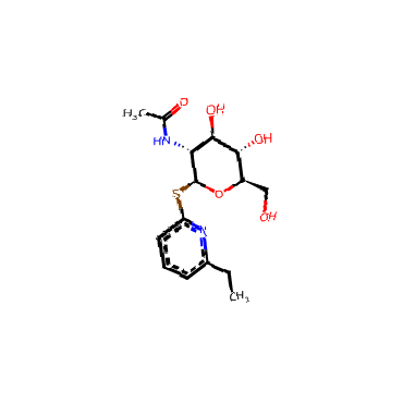 CCc1cccc(S[C@@H]2O[C@H](CO)[C@@H](O)[C@H](O)[C@H]2NC(C)=O)n1